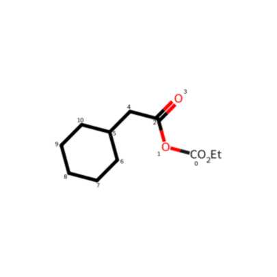 CCOC(=O)OC(=O)CC1CCCCC1